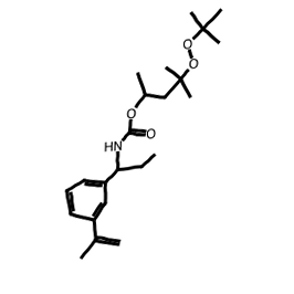 C=C(C)c1cccc(C(CC)NC(=O)OC(C)CC(C)(C)OOC(C)(C)C)c1